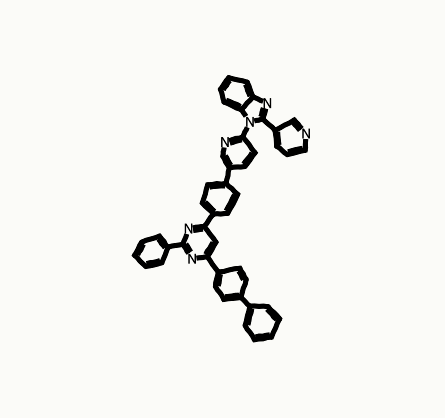 c1ccc(-c2ccc(-c3cc(-c4ccc(-c5ccc(-n6c(-c7cccnc7)nc7ccccc76)nc5)cc4)nc(-c4ccccc4)n3)cc2)cc1